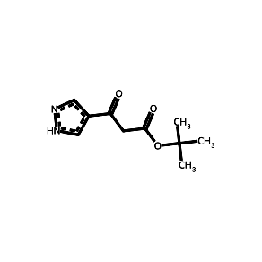 CC(C)(C)OC(=O)CC(=O)c1cn[nH]c1